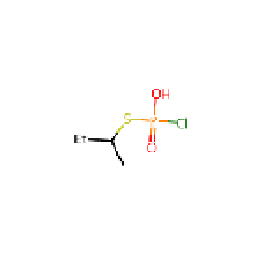 CCC(C)SP(=O)(O)Cl